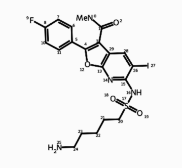 CNC(=O)c1c(-c2ccc(F)cc2)oc2nc(NS(=O)(=O)CCCCCN)c(I)cc12